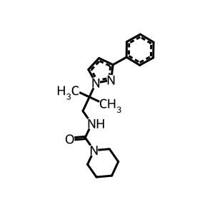 CC(C)(CNC(=O)N1CCCCC1)n1ccc(-c2ccccc2)n1